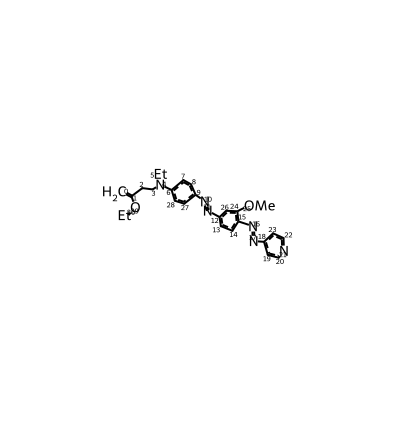 C=C(CCN(CC)c1ccc(N=Nc2ccc(N=Nc3ccncc3)c(OC)c2)cc1)OCC